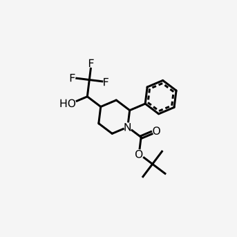 CC(C)(C)OC(=O)N1CCC(C(O)C(F)(F)F)CC1c1ccccc1